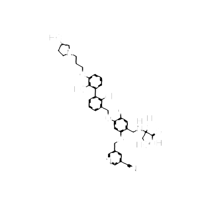 Cc1c(OCCCN2CC[C@@H](O)C2)cccc1-c1cccc(COc2cc(OCc3cncc(C#N)c3)c(CNC(C)(CO)C(=O)O)cc2Cl)c1Cl